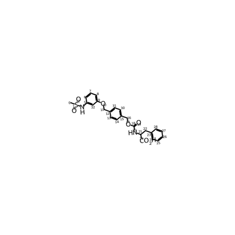 CS(=O)(=O)Nc1cccc(OCc2ccc(COC(=O)NC(Cc3ccccc3)C(=O)O)cc2)c1